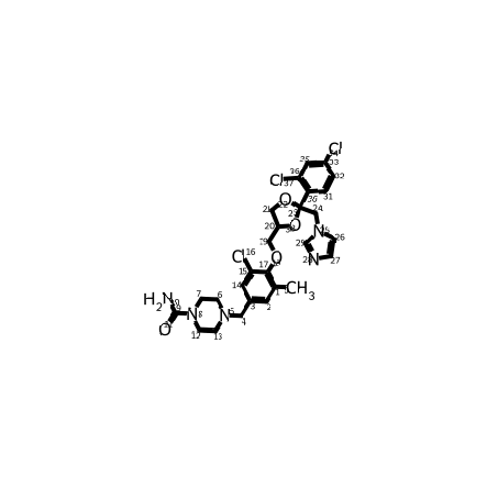 Cc1cc(CN2CCN(C(N)=O)CC2)cc(Cl)c1OCC1COC(Cn2ccnc2)(c2ccc(Cl)cc2Cl)O1